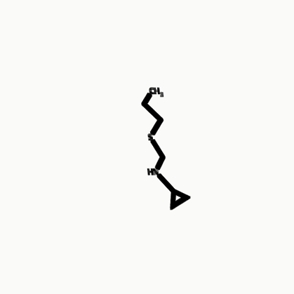 CCCSCNC1CC1